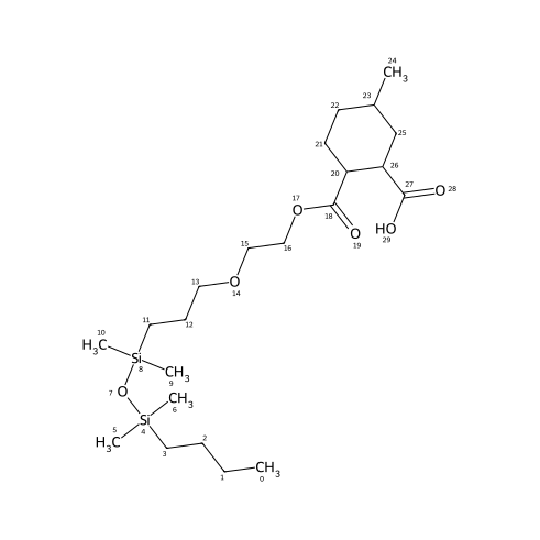 CCCC[Si](C)(C)O[Si](C)(C)CCCOCCOC(=O)C1CCC(C)CC1C(=O)O